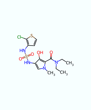 CCN(CC)C(=O)c1c(O)c(NS(=O)(=O)Nc2ccsc2Cl)cn1C